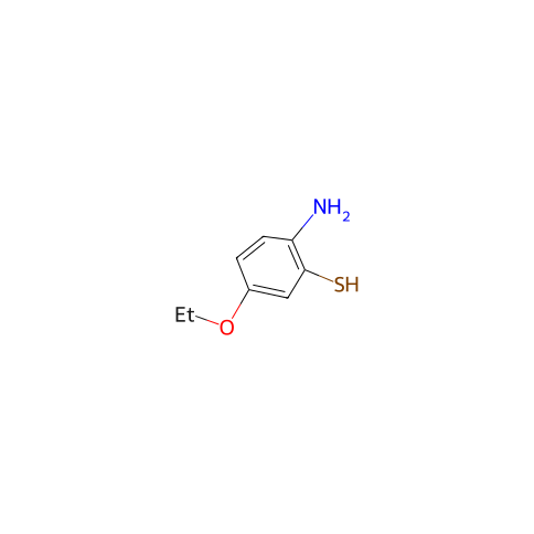 CCOc1ccc(N)c(S)c1